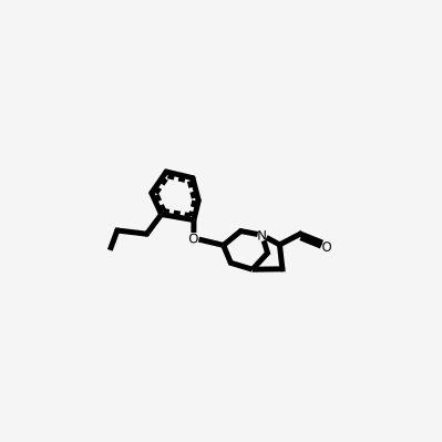 CCCc1ccccc1OC1CC2CC([C]=O)N(C2)C1